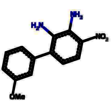 COc1cccc(-c2ccc([N+](=O)[O-])c(N)c2N)c1